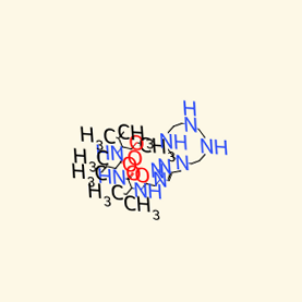 COC(=O)[C@@H](NC(=O)[C@@H](NC(=O)[C@@H](NC(=O)Cn1cc(CN2CCCNCCNCCCNCC2)nn1)C(C)C)C(C)C)C(C)C